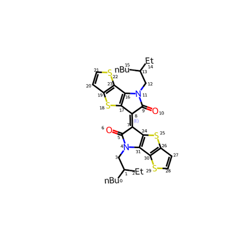 CCCCC(CC)CN1C(=O)/C(=C2/C(=O)N(CC(CC)CCCC)c3c2sc2ccsc32)c2sc3ccsc3c21